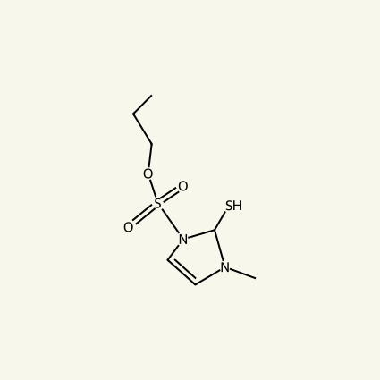 CCCOS(=O)(=O)N1C=CN(C)C1S